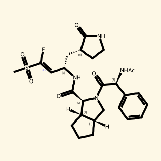 CC(=O)N[C@H](C(=O)N1C[C@@H]2CCC[C@@H]2[C@H]1C(=O)N[C@H](/C=C(\F)S(C)(=O)=O)C[C@H]1CCNC1=O)c1ccccc1